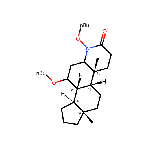 CCCCOC1CC2N(OCCCC)C(=O)CC[C@]2(C)[C@@H]2CC[C@]3(C)CCC[C@H]3[C@H]12